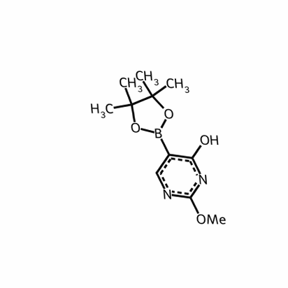 COc1ncc(B2OC(C)(C)C(C)(C)O2)c(O)n1